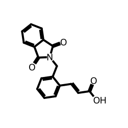 O=C(O)C=Cc1ccccc1CN1C(=O)c2ccccc2C1=O